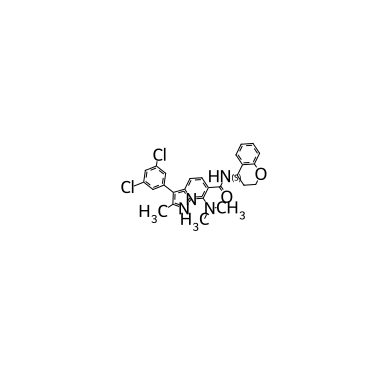 Cc1nn2c(N(C)C)c(C(=O)N[C@H]3CCOc4ccccc43)ccc2c1-c1cc(Cl)cc(Cl)c1